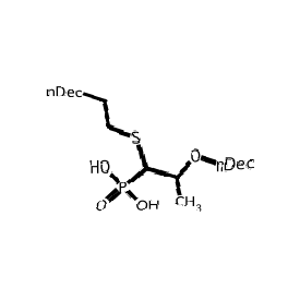 CCCCCCCCCCCCSC(C(C)OCCCCCCCCCC)P(=O)(O)O